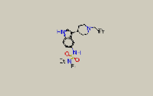 CCN(CC)S(=O)(=O)Nc1ccc2[nH]cc(C3CCN(CC(C)C)CC3)c2c1